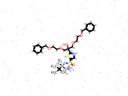 CC(C)(C)[Si](C)(C)N=S(N)(=O)c1cnc(C(O)(COCCOCc2ccccc2)COCCOCc2ccccc2)s1